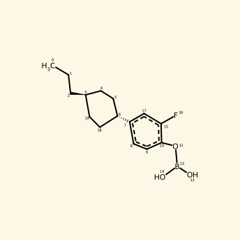 CCC[C@H]1CC[C@H](c2ccc(OB(O)O)c(F)c2)CC1